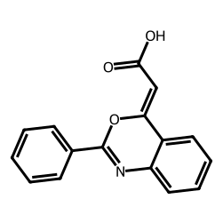 O=C(O)C=C1OC(c2ccccc2)=Nc2ccccc21